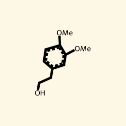 COc1cc(CCO)ccc1O[13CH3]